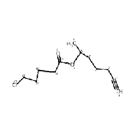 C#CCCCC(C)OC(=O)CCCCCl